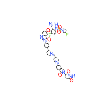 N#Cc1c(NS(=O)(=O)N2CC[C@@H](F)C2)ccc(F)c1Oc1ccc2ncn(-c3ccc(C4CCCN(CC5CCN(c6ccc7c(c6)CN([C@H]6CCC(=O)NC6=O)C7=O)CC5)C4)cc3)c(=O)c2c1